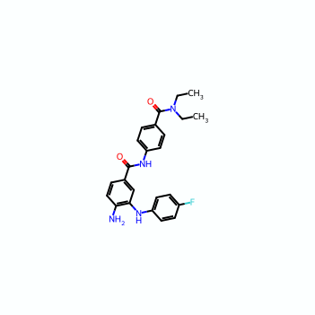 CCN(CC)C(=O)c1ccc(NC(=O)c2ccc(N)c(Nc3ccc(F)cc3)c2)cc1